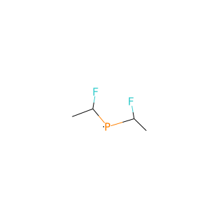 CC(F)[P]C(C)F